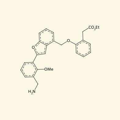 CCOC(=O)Cc1ccccc1OCc1cccc2oc(-c3cccc(CN)c3OC)cc12